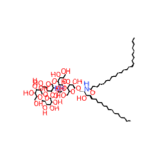 CCCCCCCC/C=C\CCCCCCCCCCCCCC(=O)N[C@@H](CO[C@@H]1OC(CO)[C@@H](O[C@@H]2OC(CO)[C@H](O)[C@H](O[C@@H]3OC(CO)[C@@H](O[C@@H]4OC(CO)[C@H](O)[C@H](O)C4O)[C@H](O[C@H]4OC(C)[C@@H](O)C(O)[C@@H]4O)C3NC(C)=O)C2O)[C@H](O)C1O)[C@H](O)/C=C/CCCCCCCCCCCCC